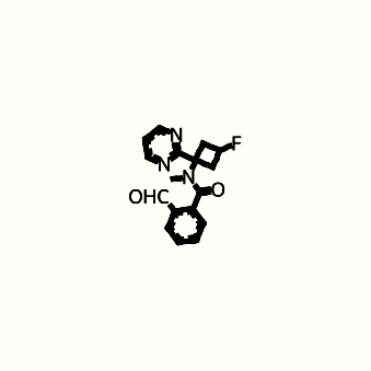 CN(C(=O)c1ccccc1C=O)C1(c2ncccn2)CC(F)C1